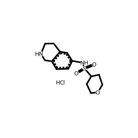 Cl.O=S(=O)(Nc1ccc2c(c1)CCNC2)C1CCOCC1